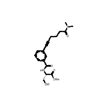 COC(=O)[C@H](CO)NC(=O)c1cccc(C#CCCCC(=O)N(C)C)c1